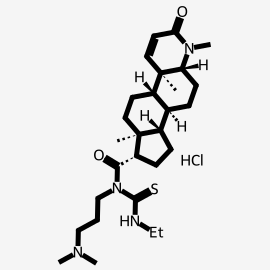 CCNC(=S)N(CCCN(C)C)C(=O)[C@H]1CC[C@H]2[C@@H]3CC[C@H]4N(C)C(=O)C=C[C@]4(C)[C@H]3CC[C@]12C.Cl